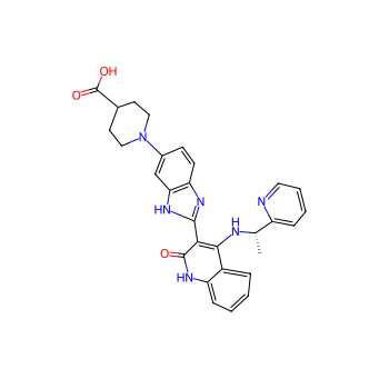 C[C@H](Nc1c(-c2nc3ccc(N4CCC(C(=O)O)CC4)cc3[nH]2)c(=O)[nH]c2ccccc12)c1ccccn1